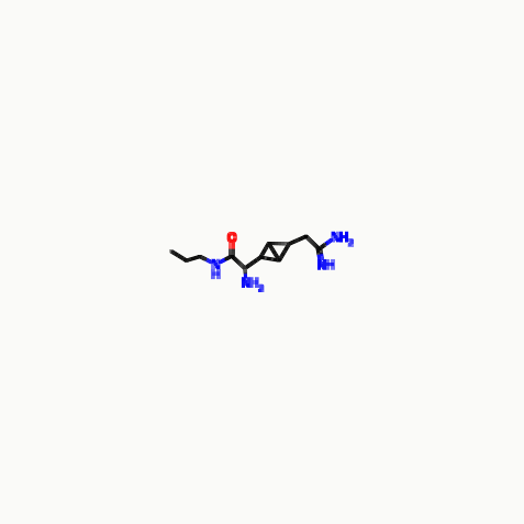 CCCNC(=O)C(N)C1C2C(CC(=N)N)C12